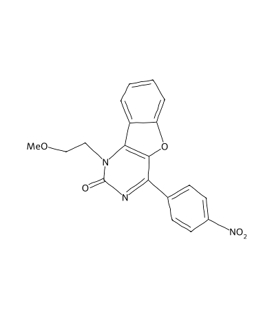 COCCn1c(=O)nc(-c2ccc([N+](=O)[O-])cc2)c2oc3ccccc3c21